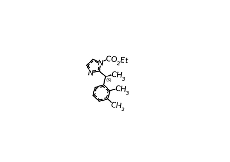 CCOC(=O)n1ccnc1[C@@H](C)c1cccc(C)c1C